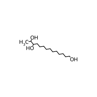 CC(O)C(O)CCCCCCCCCCCO